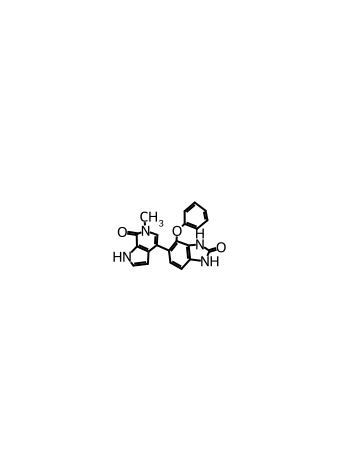 Cn1cc(-c2ccc3[nH]c(=O)[nH]c3c2Oc2ccccc2)c2cc[nH]c2c1=O